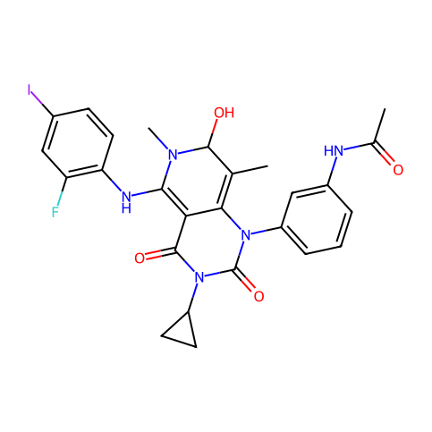 CC(=O)Nc1cccc(-n2c3c(c(=O)n(C4CC4)c2=O)=C(Nc2ccc(I)cc2F)N(C)C(O)C=3C)c1